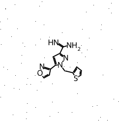 N=C(N)c1cc(-c2ccon2)n(Cc2cccs2)n1